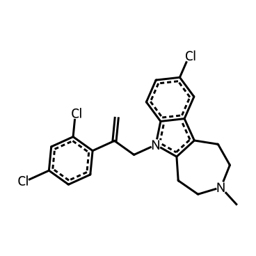 C=C(Cn1c2c(c3cc(Cl)ccc31)CCN(C)CC2)c1ccc(Cl)cc1Cl